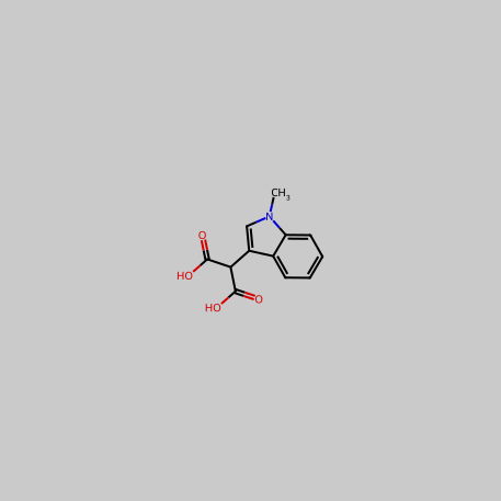 Cn1cc(C(C(=O)O)C(=O)O)c2ccccc21